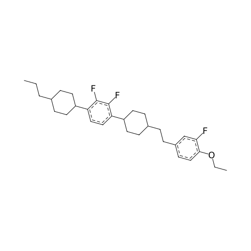 CCCC1CCC(c2ccc(C3CCC(CCc4ccc(OCC)c(F)c4)CC3)c(F)c2F)CC1